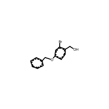 OCc1ccc(OCc2ccccc2)cc1Br